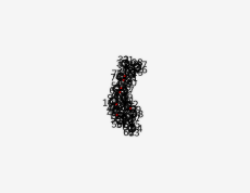 c1ccc(-c2ccc(-c3ccccc3N(c3ccc(-c4ccc(-n5c6ccccc6c6ccccc65)cc4)cc3)c3cccc4c3-c3ccccc3C43c4ccccc4N(c4ccccc4)c4ccccc43)cc2)cc1